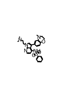 CN(C)CCn1cc(-c2ccc3c(c2)N(C)CCO3)c2c(NS(=O)(=O)c3ccccc3)ccnc21